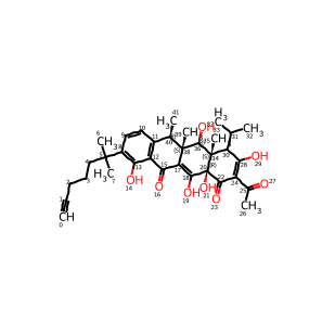 C#CCCCC(C)(C)c1ccc2c(c1O)C(=O)C1=C(O)[C@@]3(O)C(=O)C(C(C)=O)=C(O)C(C(C)C)[C@@]3(C)[C@H](O)[C@@]1(C)[C@@H]2C